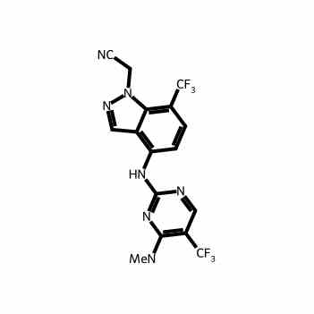 CNc1nc(Nc2ccc(C(F)(F)F)c3c2cnn3CC#N)ncc1C(F)(F)F